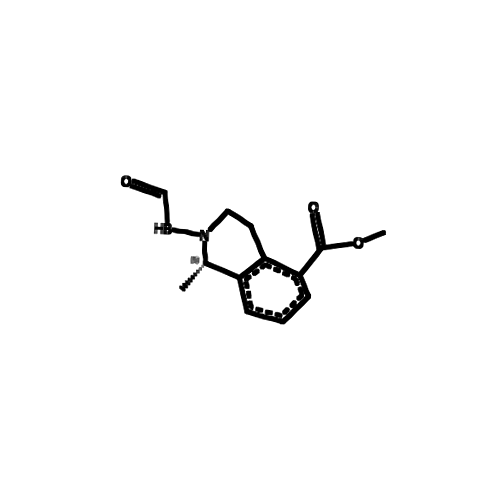 COC(=O)c1cccc2c1CCN(BC=O)[C@H]2C